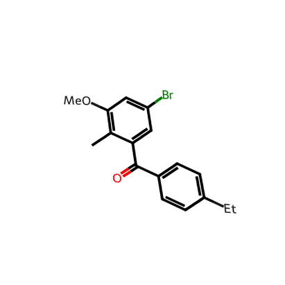 CCc1ccc(C(=O)c2cc(Br)cc(OC)c2C)cc1